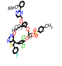 COc1ccccc1-c1nccc(COc2ccc3cc2C[C@H](C(=O)O)Oc2ncnc4sc(-c5ccc(F)cc5)c(c24)-c2cc(Cl)c(c(Cl)c2)O[C@H](COS(=O)(=O)c2ccc(C)cc2)CO3)n1